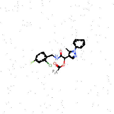 Cc1c(C(OC(=O)C(F)(F)F)C(=O)NCc2ccc(F)cc2Cl)cnn1-c1ccccc1